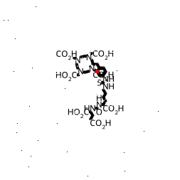 O=C(O)CCC(NC(=O)N[C@@H](CCCCNC(=S)Nc1ccc(CC2CN(CC(=O)O)CCN(CC(=O)O)CCN(CC(=O)O)CCN2CC(=O)O)cc1)C(=O)O)C(=O)O